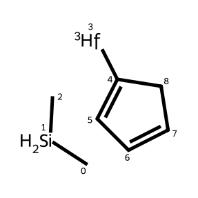 C[SiH2]C.[3Hf][C]1=CC=CC1